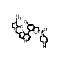 CN1CCN(Cc2cc3nccc(-c4cc(Cl)cc5c4O[C@@H](C(=O)N4CCNCC4)C5)c3s2)C1=O